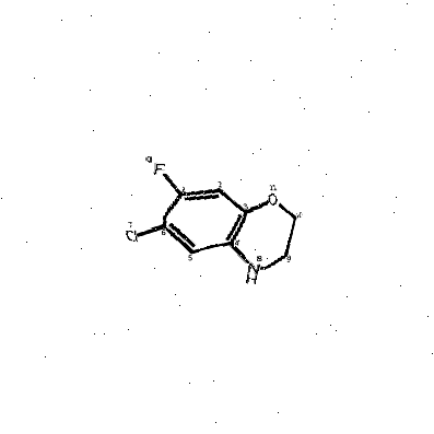 Fc1cc2c(cc1Cl)NCCO2